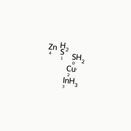 S.S.[Cu].[InH3].[Zn]